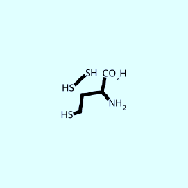 NC(CCS)C(=O)O.SS